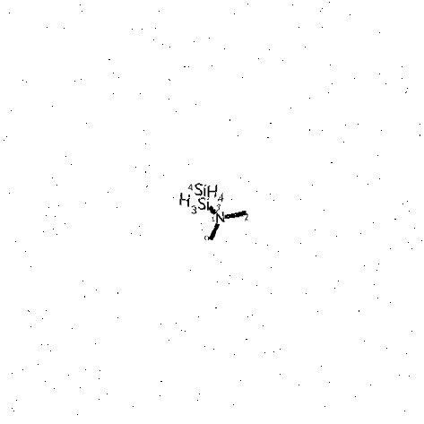 CN(C)[SiH3].[SiH4]